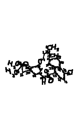 CN(C)CCOc1cc(NS(=O)(=O)c2ccc(Cl)c3ccccc23)cc2c1OC(C)(C)C2